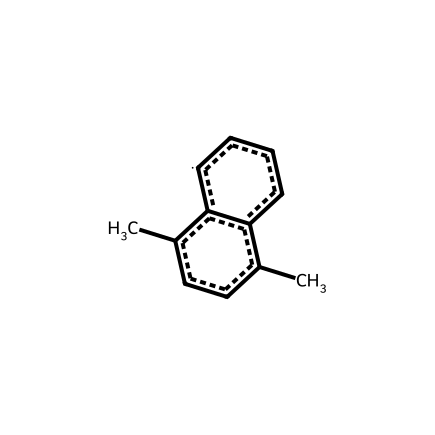 Cc1ccc(C)c2ccc[c]c12